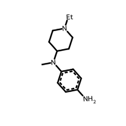 CCN1CCC(N(C)c2ccc(N)cc2)CC1